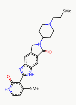 CNc1cc[nH]c(=O)c1-c1nc2cc3c(cc2[nH]1)C(=O)N(C1CCN(CCSC)CC1)C3